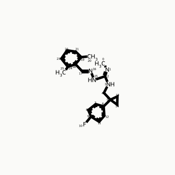 CN=C(NCC1(c2ccc(F)cc2)CC1)NN=Cc1c(C)cccc1C